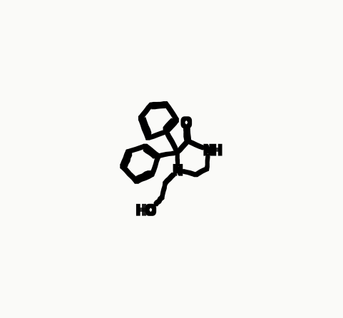 O=C1NCCN(CCO)C1(c1ccccc1)c1ccccc1